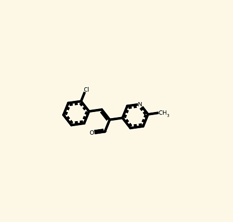 Cc1ccc(C([C]=O)=Cc2ccccc2Cl)cn1